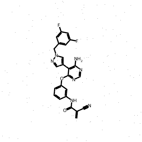 C=C(C#N)C(=O)Nc1cccc(Oc2ncnc(N)c2-c2cnn(Cc3cc(F)cc(F)c3)c2)c1